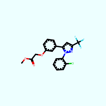 COC(=O)COc1cccc(-c2cc(C(F)(F)F)nn2-c2ccccc2Cl)c1